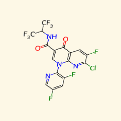 O=C(NC(C(F)(F)F)C(F)(F)F)c1cn(-c2ncc(F)cc2F)c2nc(Cl)c(F)cc2c1=O